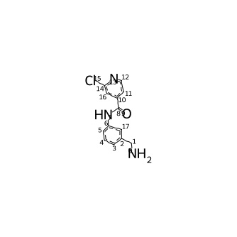 NCc1cccc(NC(=O)c2ccnc(Cl)c2)c1